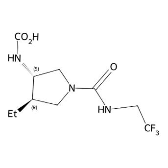 CC[C@@H]1CN(C(=O)NCC(F)(F)F)C[C@H]1NC(=O)O